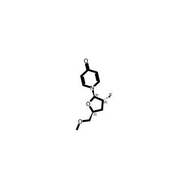 COC[C@@H]1C[C@@H](F)[C@H](n2ccc(=O)cc2)O1